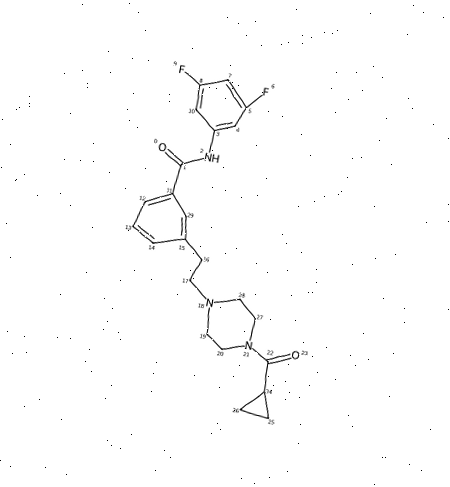 O=C(Nc1cc(F)cc(F)c1)c1cccc(CCN2CCN(C(=O)C3CC3)CC2)c1